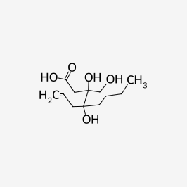 C=CCC(O)(CCCC)C(O)(CO)CC(=O)O